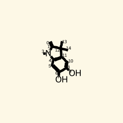 C=C1N(C)c2cc(O)c(O)cc2C1(C)C